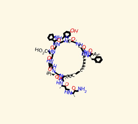 CC(=O)C(=O)[C@H](Cc1ccccc1)NN[C@]1(C)CCCCCCC=CCCC[C@@](C)(C(=O)CN[C@@H](C)C(=O)CCN[C@@H](C)C(=O)CN)NC(=O)[C@H](CC(C)C)NC(=O)C2(CC2)NC(=O)[C@H](CCC(=O)O)NC(=O)[C@H](Cc2c[nH]c3ccccc23)NC(=O)[C@H](Cc2ccc(O)cc2)NCC(=O)[C@H](C)NCC1=O